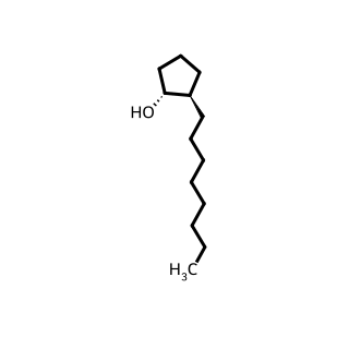 CCCCCCCC[C@@H]1CCC[C@H]1O